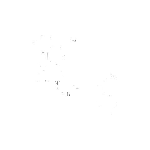 CC(C)(C)c1cc(-c2cc3[n+](cn2)C(C)(C)C(C)(C)c2c-3cc(C(C)(C)C)c3ccccc23)cc2ccccc12